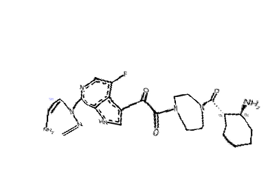 C=NN(/C=C\N)c1ncc(F)c2c(C(=O)C(=O)N3CCN(C(=O)[C@H]4CCCC[C@@H]4N)CC3)c[nH]c12